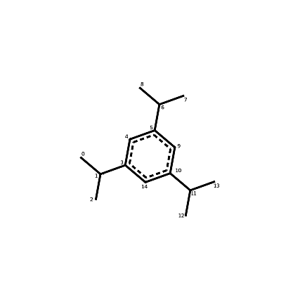 C[C](C)c1cc(C(C)C)cc(C(C)C)c1